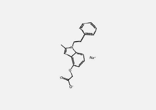 Cc1cc2c(OCC(=O)[O-])cccc2n1CCc1ccccc1.[Na+]